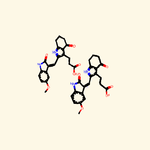 COc1ccc2c(c1)/C(=C/c1[nH]c3c(c1CCC(=O)O)C(=O)CCC3)C(=O)N2.COc1ccc2c(c1)C(=Cc1[nH]c3c(c1CCC(=O)O)C(=O)CCC3)C(=O)N2